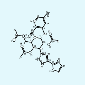 CC(=O)OC[C@H]1O[C@H](Sc2cc(Br)cnc2C#N)[C@H](OC(C)=O)[C@@H](n2cc(-c3nccs3)nn2)[C@H]1OC(C)=O